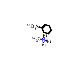 CC[N+](C)(CC)CC.O=S(=O)(O)C1=CCCCC1